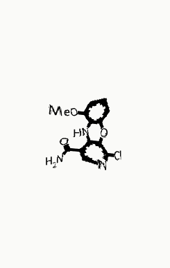 COc1cccc2c1Nc1c(C(N)=O)cnc(Cl)c1O2